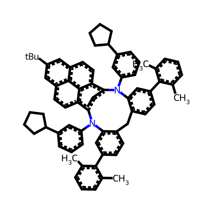 Cc1cccc(C)c1-c1ccc2c(c1)N(c1cccc(C3CCCC3)c1)c1cc(c3ccc4cc(C(C)(C)C)cc5ccc1c3c54)N(c1cccc(C3CCCC3)c1)c1cc(-c3c(C)cccc3C)ccc1C2